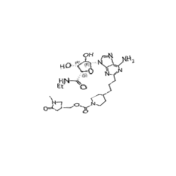 CCNC(=O)[C@H]1O[C@@H](n2cnc3c(N)nc(CCCC4CCN(C(=O)OCC5CC(=O)N(C)C5)CC4)nc32)C(O)[C@H]1O